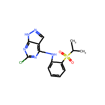 CC(C)S(=O)(=O)c1ccccc1Nc1nc(Cl)nc2[nH]ncc12